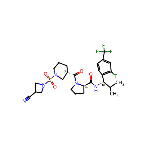 CC(C)[C@H](NC(=O)[C@H]1CCCN1C(=O)[C@H]1CCCN(S(=O)(=O)N2CC(C#N)C2)C1)c1ccc(C(F)(F)F)cc1F